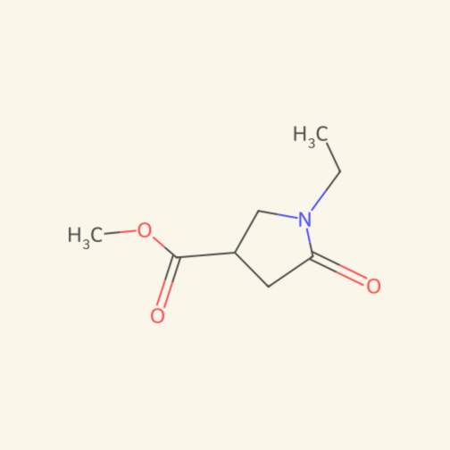 CCN1CC(C(=O)OC)CC1=O